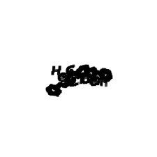 CC(C(=O)N(C)CCc1ccccc1)c1ccc(CC(C(=O)O)c2ccccc2)cc1